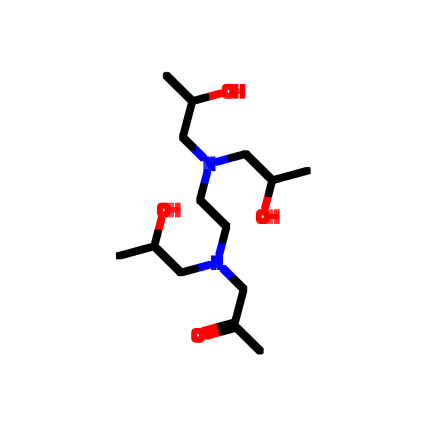 CC(=O)CN(CCN(CC(C)O)CC(C)O)CC(C)O